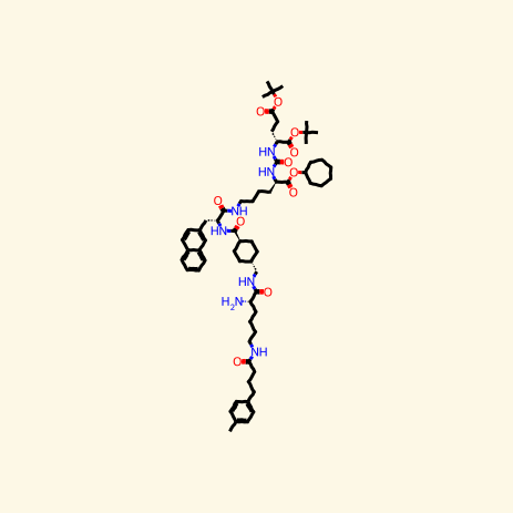 Cc1ccc(CCCC(=O)NCCCC[C@H](N)C(=O)NC[C@H]2CC[C@H](C(=O)N[C@H](Cc3ccc4ccccc4c3)C(=O)NCCCC[C@@H](NC(=O)N[C@H](CCC(=O)OC(C)(C)C)C(=O)OC(C)(C)C)C(=O)OC3CCCCCC3)CC2)cc1